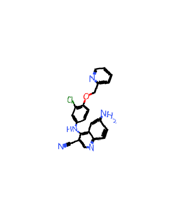 N#Cc1cnc2ccc(N)cc2c1Nc1ccc(OCc2ccccn2)c(Cl)c1